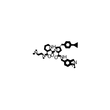 CN(C)CCN(C)C(=O)[C@H]1CCCN[C@H]1C(=O)N1C[C@H](Cc2ccc(C3CC3)cc2)C[C@H]1C(=O)NCc1ccc2c(cnn2C)c1